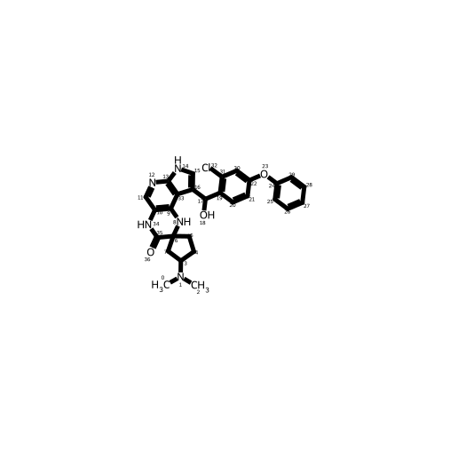 CN(C)C1CCC2(C1)Nc1c(cnc3[nH]cc(C(O)c4ccc(Oc5ccccc5)cc4Cl)c13)NC2=O